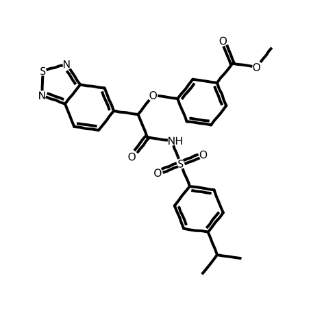 COC(=O)c1cccc(OC(C(=O)NS(=O)(=O)c2ccc(C(C)C)cc2)c2ccc3nsnc3c2)c1